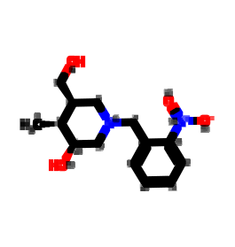 C[C@@H]1[C@@H](CO)CN(Cc2ccccc2[N+](=O)[O-])C[C@H]1O